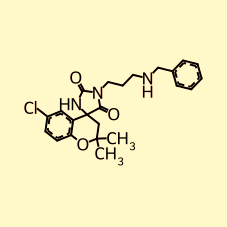 CC1(C)CC2(NC(=O)N(CCCNCc3ccccc3)C2=O)c2cc(Cl)ccc2O1